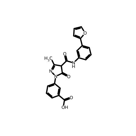 CC1=NN(c2cccc(C(=O)O)c2)C(=O)C1C(=O)Nc1cccc(-c2ccco2)c1